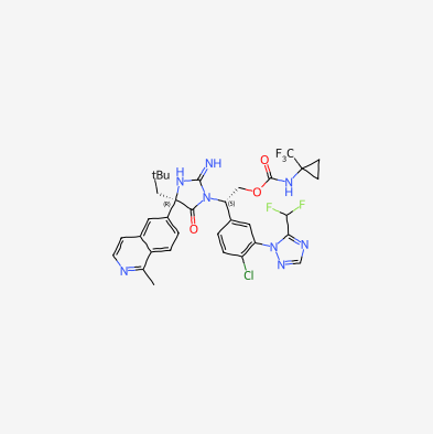 Cc1nccc2cc([C@@]3(CC(C)(C)C)NC(=N)N([C@H](COC(=O)NC4(C(F)(F)F)CC4)c4ccc(Cl)c(-n5ncnc5C(F)F)c4)C3=O)ccc12